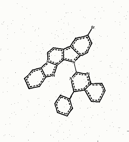 Brc1ccc2c(c1)c1ccn3c4ccccc4nc3c1n2-c1nc(-c2ccccc2)c2ccccc2n1